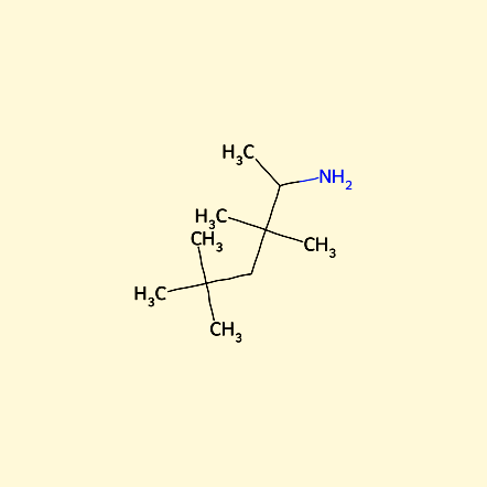 CC(N)C(C)(C)CC(C)(C)C